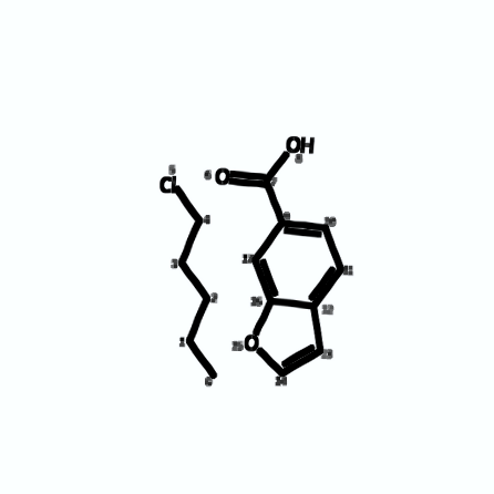 CCCCCCl.O=C(O)c1ccc2ccoc2c1